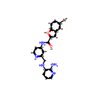 Nc1ncccc1NCc1cc(NC(=O)c2cc3cc(Br)ccc3o2)ccn1